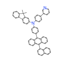 CC1(C)c2ccccc2-c2ccc(N(c3ccc(-c4cccnc4)cc3)c3ccc(-c4c5ccccc5c(-c5cccc6ccccc56)c5ccccc45)cc3)cc21